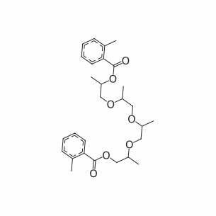 Cc1ccccc1C(=O)OCC(C)OCC(C)OCC(C)OCC(C)OC(=O)c1ccccc1C